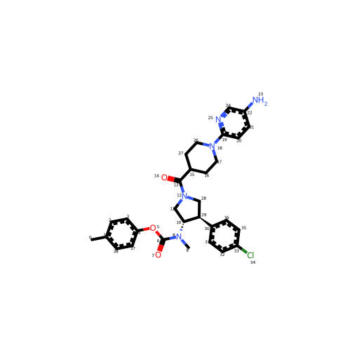 Cc1ccc(OC(=O)N(C)[C@@H]2CN(C(=O)C3CCN(c4ccc(N)cn4)CC3)C[C@H]2c2ccc(Cl)cc2)cc1